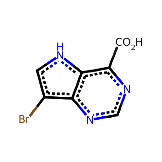 O=C(O)c1ncnc2c(Br)c[nH]c12